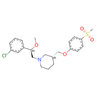 CO[C@@H](CN1CCC[C@@H](COc2ccc(S(C)(=O)=O)cc2)C1)c1cccc(Cl)c1